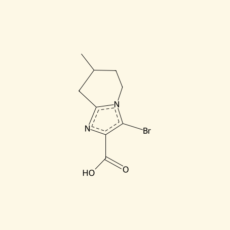 CC1CCn2c(nc(C(=O)O)c2Br)C1